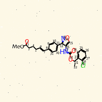 COC(=O)CCC/C=C/c1ccc(-c2nocc2NC(=O)O[C@H](C)c2ccccc2Cl)cc1